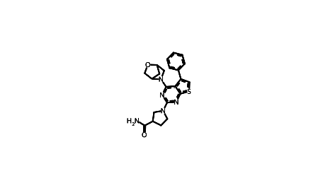 NC(=O)C1CCN(c2nc(N3CC4CC3CO4)c3c(-c4ccccc4)csc3n2)C1